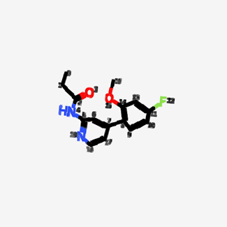 CCC(=O)Nc1cc(-c2ccc(F)cc2OC)ccn1